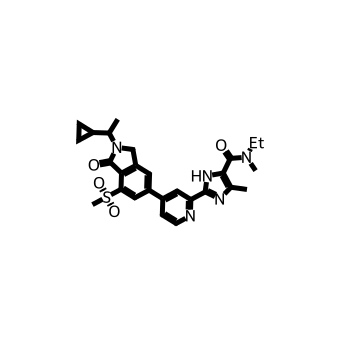 CCN(C)C(=O)c1[nH]c(-c2cc(-c3cc4c(c(S(C)(=O)=O)c3)C(=O)N(C(C)C3CC3)C4)ccn2)nc1C